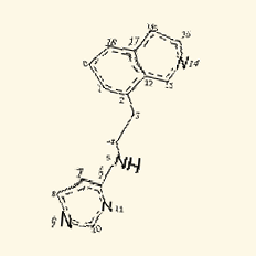 c1cc(CCNc2ccncn2)c2cnccc2c1